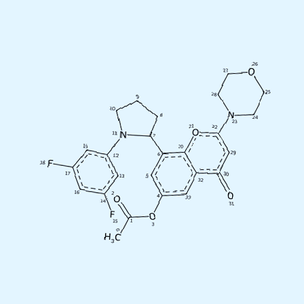 CC(=O)Oc1cc(C2CCCN2c2cc(F)cc(F)c2)c2oc(N3CCOCC3)cc(=O)c2c1